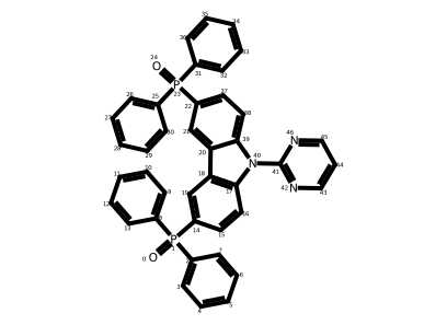 O=P(c1ccccc1)(c1ccccc1)c1ccc2c(c1)c1cc(P(=O)(c3ccccc3)c3ccccc3)ccc1n2-c1ncccn1